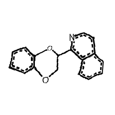 c1ccc2c(c1)OCC(c1nccc3ccccc13)O2